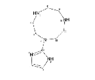 c1c[nH]c(N2CCNCCNCC2)n1